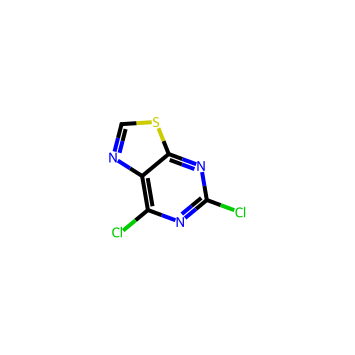 Clc1nc(Cl)c2ncsc2n1